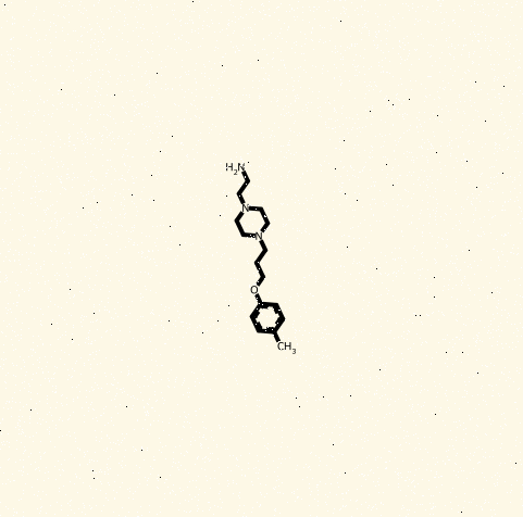 Cc1ccc(OCCCN2CCN(CCN)CC2)cc1